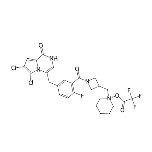 O=C(c1cc(Cc2c[nH]c(=O)c3cc(Cl)c(Cl)n23)ccc1F)N1CC(C[N+]2(OC(=O)C(F)(F)F)CCCCC2)C1